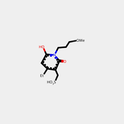 CCc1cc(O)n(CCCOC)c(=O)c1CS(=O)(=O)O